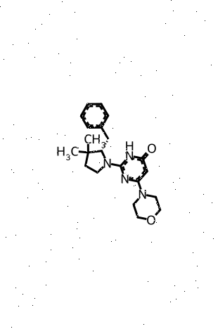 CC1(C)CCN(c2nc(N3CCOCC3)cc(=O)[nH]2)[C@H]1Cc1ccccc1